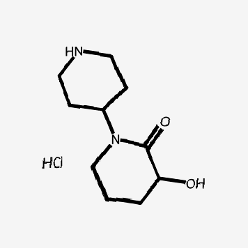 Cl.O=C1C(O)CCCN1C1CCNCC1